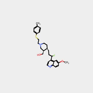 COc1ccc2nccc(C(F)CC[C@@H]3CCN(CCSc4ccc(C)cc4)C[C@@H]3CO)c2c1